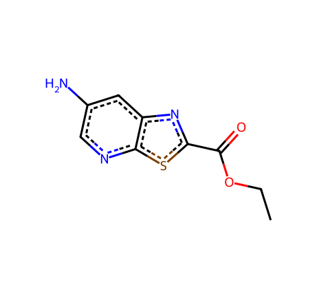 CCOC(=O)c1nc2cc(N)cnc2s1